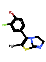 CC1=C(c2ccc(Br)c(F)c2)N2CCN=C2S1